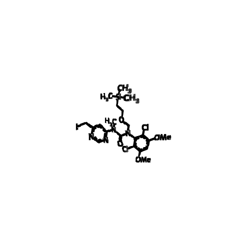 COc1cc(OC)c(Cl)c(N(COCC[Si](C)(C)C)C(=O)N(C)c2cc(CI)ncn2)c1Cl